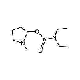 CCN(CC)C(=O)O[C]1CCCN1C